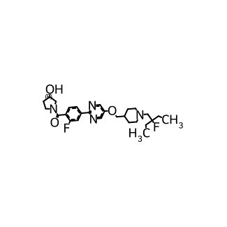 CCC(F)(CC)CN1CCC(COc2cnc(-c3ccc(C(=O)N4CC[C@@H](O)C4)c(F)c3)nc2)CC1